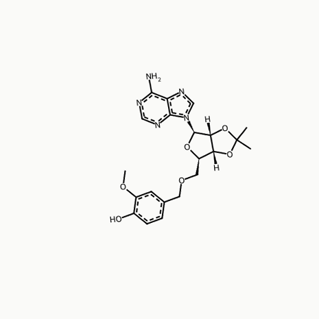 COc1cc(COC[C@H]2O[C@@H](n3cnc4c(N)ncnc43)[C@@H]3OC(C)(C)O[C@@H]32)ccc1O